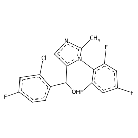 Cc1ncc(C(O)c2ccc(F)cc2Cl)n1-c1c(F)cc(F)cc1F